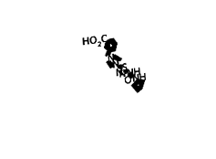 O=C(Nc1nnc(N2CCN(Cc3cccc(C(=O)O)c3)CC2)s1)NC1CCCC1